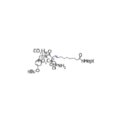 CCCCCCCC(=O)CCCCCC/C=C/[C@H](C(=O)N[C@@H](Cc1ccc(OCCCC)cc1)C(=O)O)[C@@](O)(CC(N)=O)C(=O)O